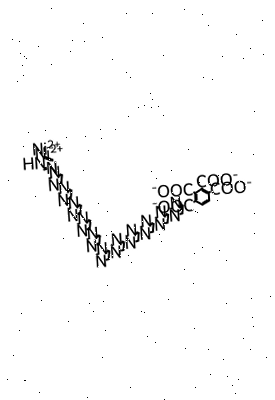 C1=NC=NC1.C1=NC=NC1.C1=NC=NC1.C1=NC=NC1.C1=NC=NC1.C1=NC=NC1.C1=NC=NC1.C1=NC=NC1.C1=NC=NC1.C1=NC=NC1.C1=NC=NC1.O=C([O-])c1ccc(C(=O)[O-])c(C(=O)[O-])c1C(=O)[O-].[Ni+2].[Ni+2].c1c[nH]cn1